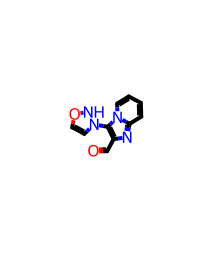 O=Cc1nc2ccccn2c1N1C=CON1